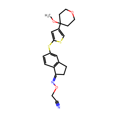 COC1(c2csc(Sc3ccc4c(c3)CC/C4=N\OCC#N)c2)CCOCC1